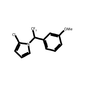 COc1cccc(C(n2cccc2Cl)C(F)(F)F)c1